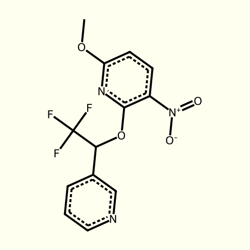 COc1ccc([N+](=O)[O-])c(OC(c2cccnc2)C(F)(F)F)n1